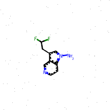 Nn1cc(CC(F)F)c2cnccc21